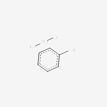 Cc1cc[c]cc1.[Br][Mg][Br]